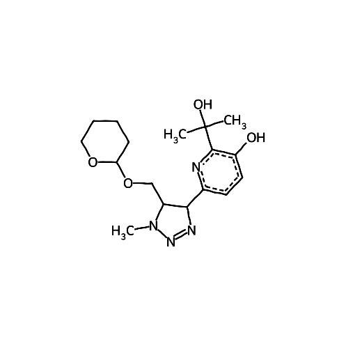 CN1N=NC(c2ccc(O)c(C(C)(C)O)n2)C1COC1CCCCO1